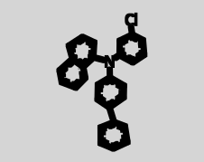 Clc1cccc(N(c2ccc(-c3ccccc3)cc2)c2cccc3ccccc23)c1